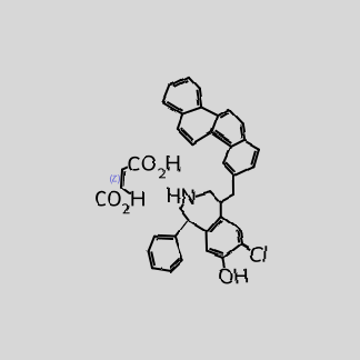 O=C(O)/C=C\C(=O)O.Oc1cc2c(cc1Cl)C(Cc1ccc3ccc4c5ccccc5ccc4c3c1)CNCC2c1ccccc1